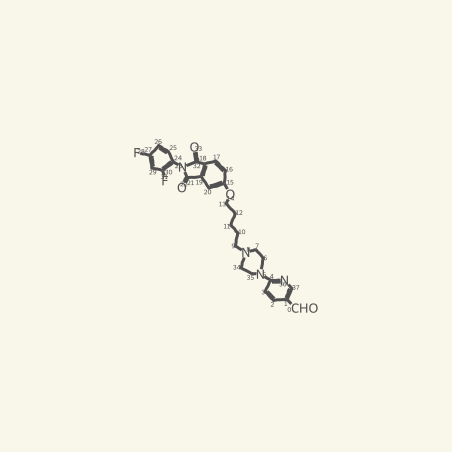 O=Cc1ccc(N2CCN(CCCCCOc3ccc4c(c3)C(=O)N(c3ccc(F)cc3F)C4=O)CC2)nc1